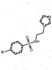 O=S(=O)(NCCn1ccnc1)c1ccc(Br)cc1